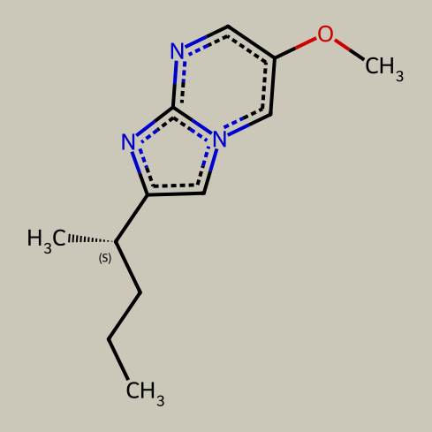 CCC[C@H](C)c1cn2cc(OC)cnc2n1